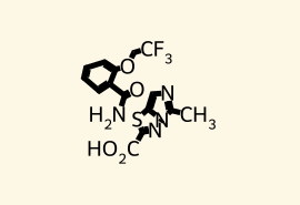 Cc1ncc2sc(C(=O)O)nn12.NC(=O)c1ccccc1OCC(F)(F)F